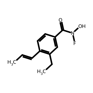 CC=Cc1ccc(C(=O)N(O)F)cc1CC